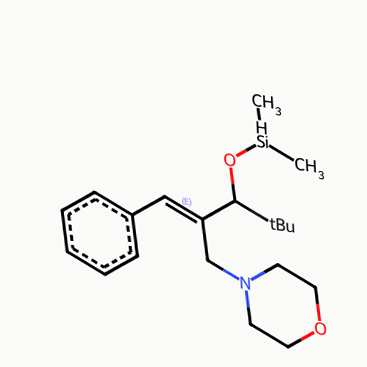 C[SiH](C)OC(/C(=C/c1ccccc1)CN1CCOCC1)C(C)(C)C